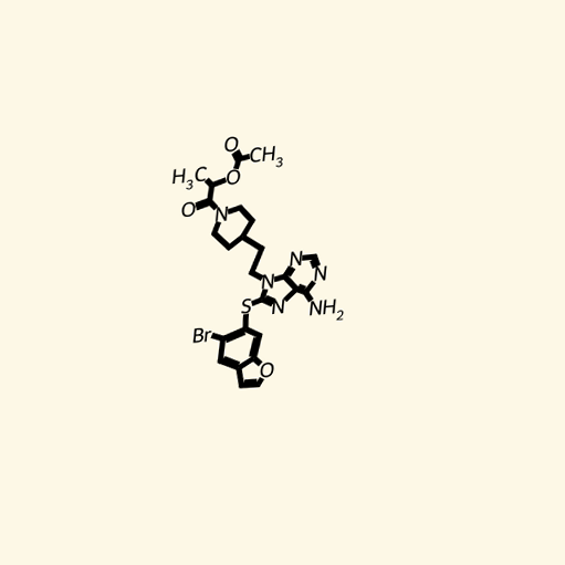 CC(=O)OC(C)C(=O)N1CCC(CCn2c(Sc3cc4occc4cc3Br)nc3c(N)ncnc32)CC1